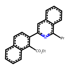 CCOC(=O)c1c(-c2cc3ccccc3c(C(C)C)n2)ccc2ccccc12